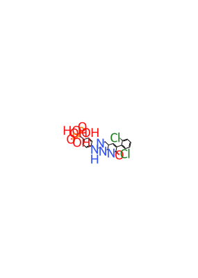 CN1C(=O)C(c2c(Cl)cccc2Cl)=CC2C=NC(Nc3ccc(C(P(=O)(O)O)P(=O)(O)O)cc3)=NC21